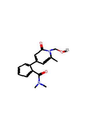 CCOCn1c(C)cc(-c2ccccc2C(=O)N(C)C)cc1=O